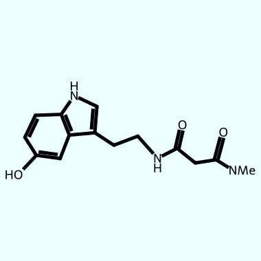 CNC(=O)CC(=O)NCCc1c[nH]c2ccc(O)cc12